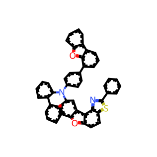 c1ccc(-c2nc3c(ccc4oc5ccc(N(c6ccc(-c7cccc8c7oc7ccccc78)cc6)c6ccccc6-c6ccccc6)cc5c43)s2)cc1